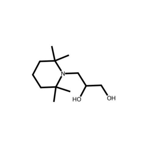 CC1(C)CCCC(C)(C)N1CC(O)CO